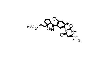 CCOC(=O)CCC12CCCC1C(c1cc(-n3c(=O)cc(C(F)(F)F)n(C)c3=O)c(F)cc1Cl)=NO2